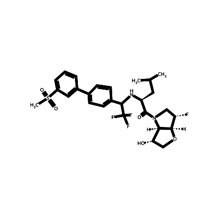 CC(C)C[C@H](NC(c1ccc(-c2cccc(S(C)(=O)=O)c2)cc1)C(F)(F)F)C(=O)N1C[C@H](F)[C@H]2OC[C@H](O)[C@H]21